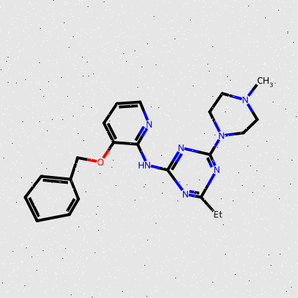 CCc1nc(Nc2ncccc2OCc2ccccc2)nc(N2CCN(C)CC2)n1